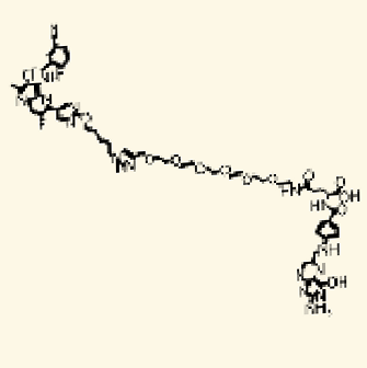 Cc1nc2cc(F)c(-c3cnc(OCCCCCn4cc(COCCOCCOCCOCCOCCOCCNC(=O)CC[C@H](NC(=O)c5ccc(NCc6cnc7nc(N)nc(O)c7n6)cc5)C(=O)O)nn4)nc3)nc2c(N[C@H](C)c2cc(C#N)ccc2F)c1Cl